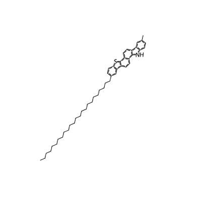 CCCCCCCCCCCCCCCCCCCCCCCCc1ccc2sc3c(ccc4c3ccc3c5cc(C)ccc5[nH]c34)c2c1